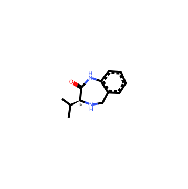 CC(C)[C@@H]1NCc2ccccc2NC1=O